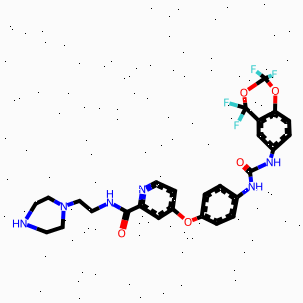 O=C(Nc1ccc(Oc2ccnc(C(=O)NCCN3CCNCC3)c2)cc1)Nc1ccc2c(c1)C(F)(F)OC(F)(F)O2